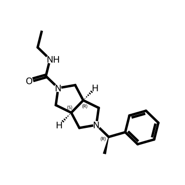 CCNC(=O)N1C[C@@H]2CN([C@H](C)c3ccccc3)C[C@@H]2C1